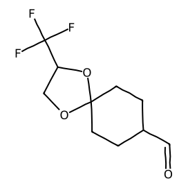 O=CC1CCC2(CC1)OCC(C(F)(F)F)O2